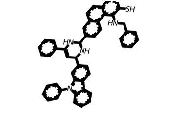 Sc1ccc2ccc3cc(C4NC(c5ccccc5)=CC(c5ccc6c7ccccc7n(-c7ccccc7)c6c5)N4)ccc3c2c1NCc1ccccc1